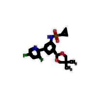 CC1(C)COB(c2cc(NS(=O)(=O)C3CC3)cc(-c3ncc(F)cc3F)c2)OC1